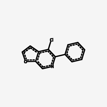 Clc1c(-c2ccccc2)ncc2occc12